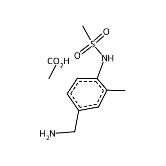 CC(=O)O.Cc1cc(CN)ccc1NS(C)(=O)=O